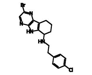 Clc1ccc(CCNC2CCCc3c2[nH]c2ncc(Br)nc32)cc1